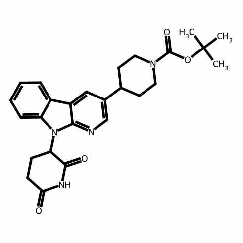 CC(C)(C)OC(=O)N1CCC(c2cnc3c(c2)c2ccccc2n3C2CCC(=O)NC2=O)CC1